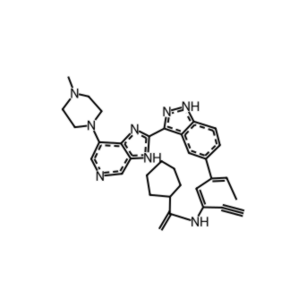 C#C/C(=C\C(=C/C)c1ccc2[nH]nc(-c3nc4c(N5CCN(C)CC5)cncc4[nH]3)c2c1)NC(=C)C1CCCCC1